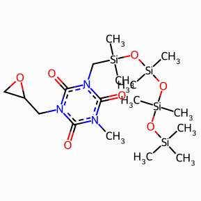 Cn1c(=O)n(CC2CO2)c(=O)n(C[Si](C)(C)O[Si](C)(C)O[Si](C)(C)O[Si](C)(C)C)c1=O